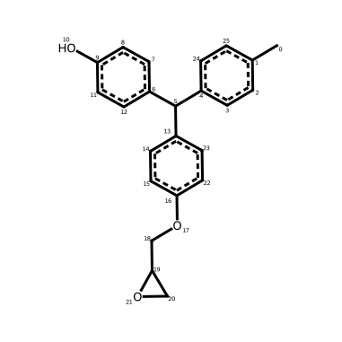 Cc1ccc(C(c2ccc(O)cc2)c2ccc(OCC3CO3)cc2)cc1